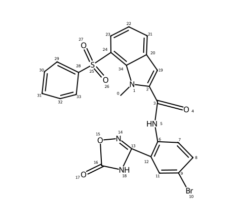 Cn1c(C(=O)Nc2ccc(Br)cc2-c2noc(=O)[nH]2)cc2cccc(S(=O)(=O)c3ccccc3)c21